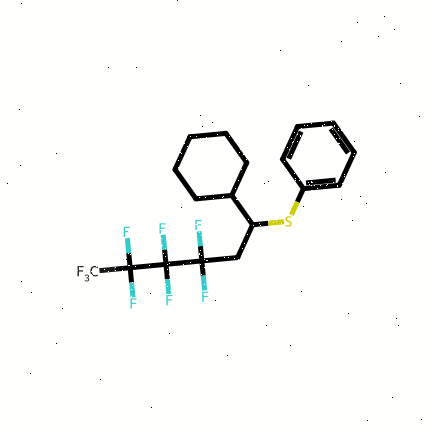 FC(F)(F)C(F)(F)C(F)(F)C(F)(F)CC(Sc1ccccc1)C1CCCCC1